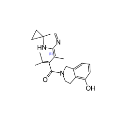 C=N/C(NC1(C)CC1)=C(\C)C(C(=O)N1CCc2c(O)cccc2C1)=C(C)C